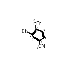 CCCc1ccc(C#N)cc1CC